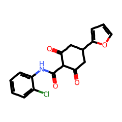 O=C1CC(c2ccco2)CC(=O)C1C(=O)Nc1ccccc1Cl